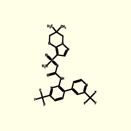 CC1(C)COc2c(S(N)(=O)=NC(=O)Nc3nc(C(F)(F)F)ccc3-c3ccnc(C(F)(F)F)c3)cnn2C1